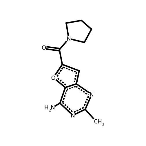 Cc1nc(N)c2oc(C(=O)N3CCCC3)cc2n1